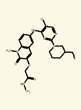 CNC(=O)COc1cc2cc(Nc3nc(N4CCCC(CI)C4)ncc3Cl)ccc2n(C)c1=O